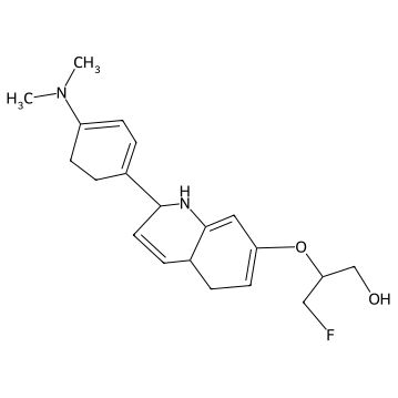 CN(C)C1=CC=C(C2C=CC3CC=C(OC(CO)CF)C=C3N2)CC1